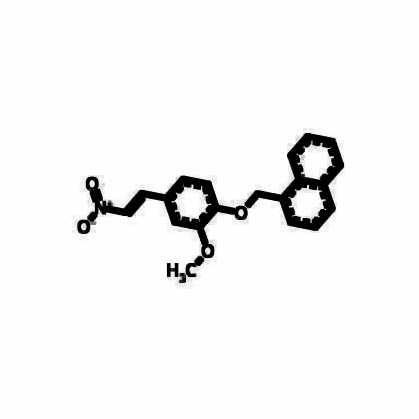 COc1cc(/C=C/[N+](=O)[O-])ccc1OCc1cccc2ccccc12